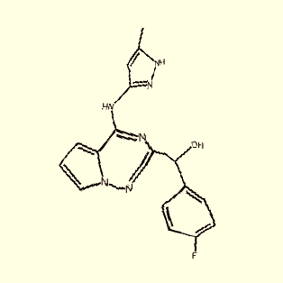 Cc1cc(Nc2nc(C(O)c3ccc(F)cc3)nn3cccc23)n[nH]1